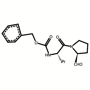 CC(C)[C@H](NC(=O)OCc1ccccc1)C(=O)N1CCC[C@H]1C=O